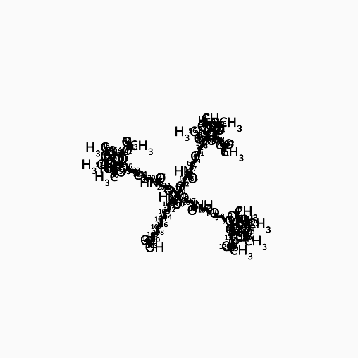 CC(=O)NC1C(OCCCOCCCNC(=O)CCOCC(COCCC(=O)NCCCOCCCOC2OC(COC(C)=O)C(OC(C)=O)C(OC(C)=O)C2NC(C)=O)(COCCC(=O)NCCCOCCCOC2OC(COC(C)=O)C(OC(C)=O)C(OC(C)=O)C2NC(C)=O)NC(=O)CCCCCCCCCCC(=O)O)OC(COC(C)=O)C(OC(C)=O)C1OC(C)=O